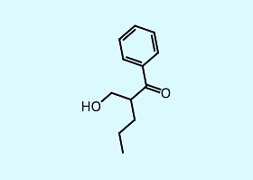 CCCC(CO)C(=O)c1ccccc1